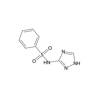 O=S(=O)(Nc1nc[nH]n1)c1ccccc1